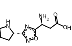 N[C@@H](CC(=O)O)c1nc([C@@H]2CCCN2)no1